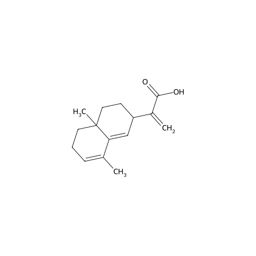 C=C(C(=O)O)C1C=C2C(C)=CCCC2(C)CC1